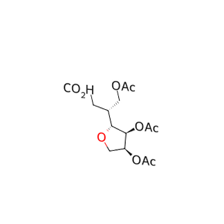 CC(=O)OC[C@@H](CC(=O)O)[C@H]1OC[C@H](OC(C)=O)[C@@H]1OC(C)=O